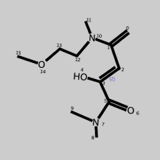 C=C(/C=C(\O)C(=O)N(C)C)N(C)CCOC